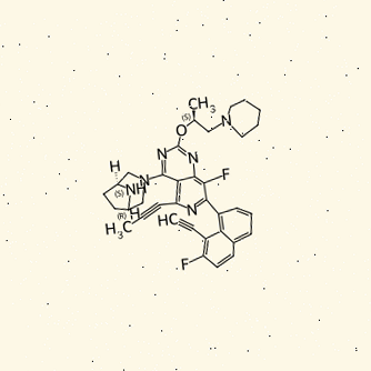 C#Cc1c(F)ccc2cccc(-c3nc(C#CC)c4c(N5C[C@H]6CC[C@@H](C5)N6)nc(O[C@@H](C)CN5CCCCC5)nc4c3F)c12